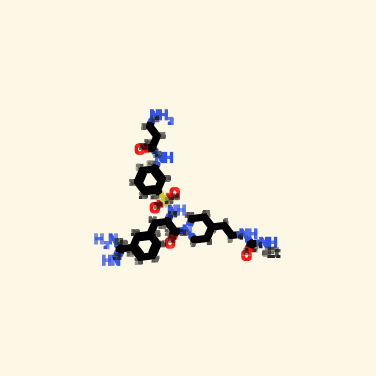 CCNC(=O)NCCC1CCN(C(=O)C(Cc2cccc(C(=N)N)c2)NS(=O)(=O)c2cccc(NC(=O)CCN)c2)CC1